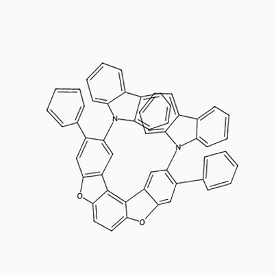 c1ccc(-c2cc3oc4ccc5oc6cc(-c7ccccc7)c(-n7c8ccccc8c8ccccc87)cc6c5c4c3cc2-n2c3ccccc3c3ccccc32)cc1